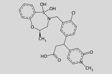 C[C@@H]1CN(Cc2cc(C(CC(=O)O)c3ccn(C)c(=O)c3)ccc2Cl)S(O)(O)c2ccccc2O1